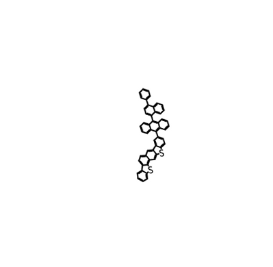 c1ccc(-c2ccc(-c3c4ccccc4c(-c4ccc5sc6cc7c(ccc8c9ccccc9sc78)cc6c5c4)c4ccccc34)c3ccccc23)cc1